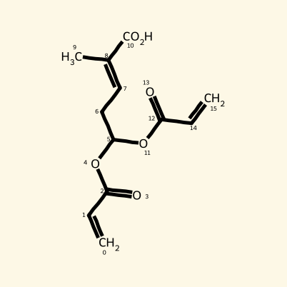 C=CC(=O)OC(CC=C(C)C(=O)O)OC(=O)C=C